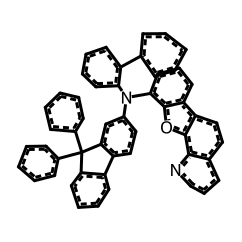 c1ccc(-c2ccccc2N(c2ccc3c(c2)C(c2ccccc2)(c2ccccc2)c2ccccc2-3)c2cccc3c2oc2c3ccc3cccnc32)cc1